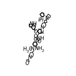 CC(C)c1ccccc1[C@@H]1CCCN1C1CC2(CCN(c3cc(Oc4cnc5[nH]ccc5c4)c(C(=O)NS(=O)(=O)c4ccc(N(C)CC5CCN(C6COC6)CC5)c(N)c4)cn3)CC2)C1